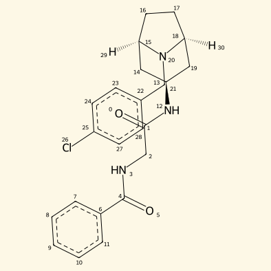 O=C(CNC(=O)c1ccccc1)N[C@H]1C[C@H]2CC[C@@H](C1)N2Cc1ccc(Cl)cc1